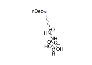 CCCCCCCCCC/C=C\CCCCCCCC(=O)NCCNC(=O)C1OC(C)C(O)C(O)C1O